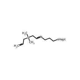 C=CC[Si](C)(C)CC=NCCCCCCCCCC